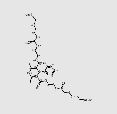 CCCCCCCCCCCCCCCC(=O)OCCOC(=O)C1=C(C)NC(C)=C(C(=O)OCCOC(=O)CCCCCCCCCCCCCCC)C1c1cccnc1